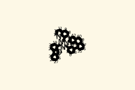 c1cc(-c2nc(-c3cccc4cccnc34)nc(-c3cccc4c3oc3ccccc34)n2)cc(-c2cccc3ccc4ccccc4c23)c1